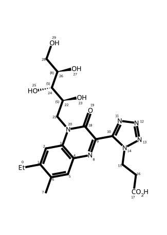 CCc1cc2c(cc1C)nc(-c1nnnn1CCC(=O)O)c(=O)n2C[C@H](O)[C@H](O)[C@H](O)CO